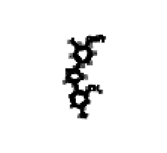 Cc1cc(Br)ccc1-c1nnc(-c2ccc(OC(C)C)c(I)c2)s1